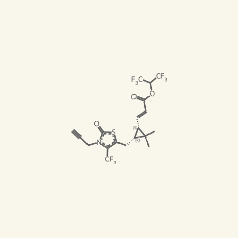 C#CCn1c(C(F)(F)F)c(C[C@@H]2[C@H](C=CC(=O)OC(C(F)(F)F)C(F)(F)F)C2(C)C)sc1=O